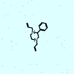 C=CCN1CCN(CC=C)C(c2ccccc2)C1